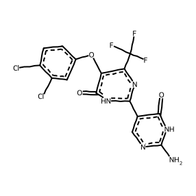 Nc1ncc(-c2nc(C(F)(F)F)c(Oc3ccc(Cl)c(Cl)c3)c(=O)[nH]2)c(=O)[nH]1